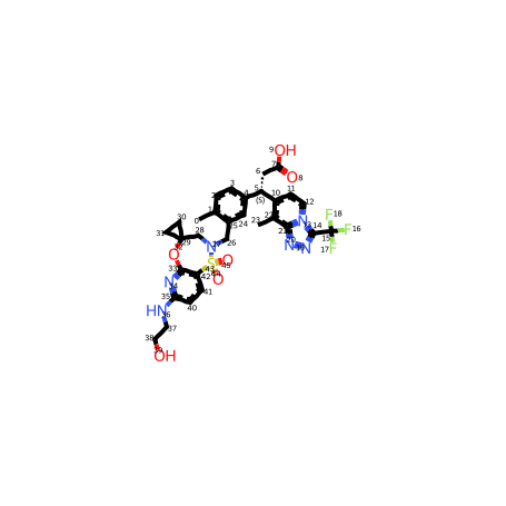 Cc1ccc([C@H](CC(=O)O)c2ccn3c(C(F)(F)F)nnc3c2C)cc1CN1CC2(CC2)Oc2nc(NCCO)ccc2S1(=O)=O